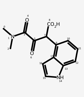 CN(C)C(=O)C(=O)C(C(=O)O)c1cccc2[nH]ccc12